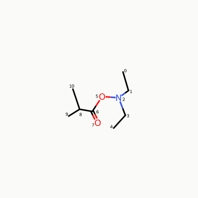 CCN(CC)OC(=O)C(C)C